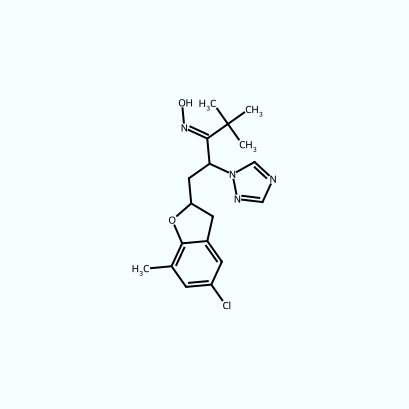 Cc1cc(Cl)cc2c1OC(CC(C(=NO)C(C)(C)C)n1cncn1)C2